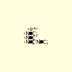 [C-]#N.[C-]#N.[C-]#N.[C-]#N.[Ir+4]